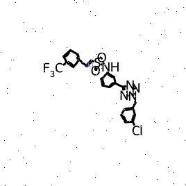 O=S(=O)(/C=C/c1cccc(C(F)(F)F)c1)Nc1cccc(-c2nnn(Cc3cccc(Cl)c3)n2)c1